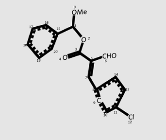 COC(OC(=O)/C(C=O)=C/c1ccc(Cl)cc1)c1ccccc1